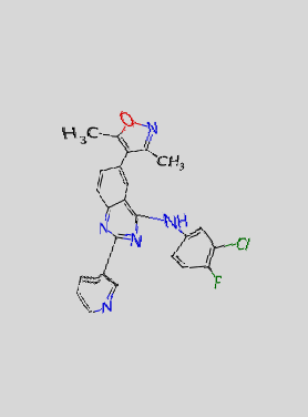 Cc1noc(C)c1-c1ccc2nc(-c3cccnc3)nc(Nc3ccc(F)c(Cl)c3)c2c1